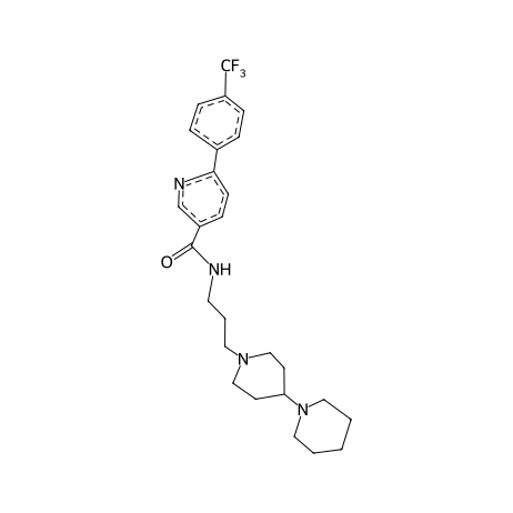 O=C(NCCCN1CCC(N2CCCCC2)CC1)c1ccc(-c2ccc(C(F)(F)F)cc2)nc1